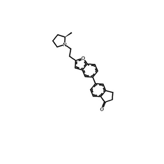 C[C@@H]1CCCN1CCc1cc2cc(-c3ccc4c(c3)CCC4=O)ccc2o1